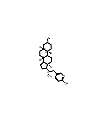 CCC[C@H]1CC[C@@H]2C3CC[C@@]4(C)C(CCC4[C@@H](C)Cc4ccc(C#N)nc4)[C@@H]3CC[C@@H]2C1